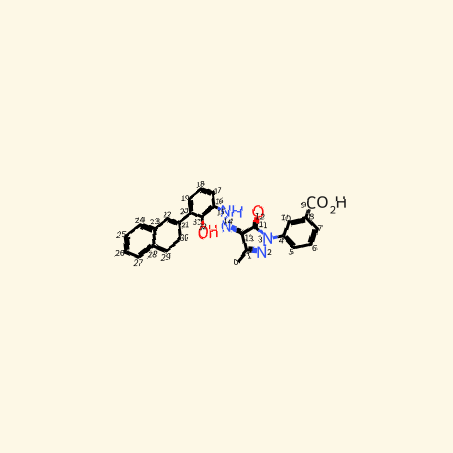 CC1=NN(c2cccc(C(=O)O)c2)C(=O)/C1=N\Nc1cccc(C2=Cc3ccccc3CC2)c1O